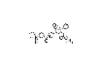 COC(=O)CC(Cc1ccccc1)CC(C1=COCO1)C1CCN(C(=O)c2cccc(NC3=NCCCC3)c2)CC1